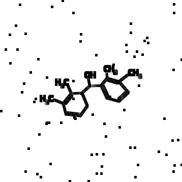 CC1=C(C)C(C(O)c2cccc(C)c2C)CC=C1